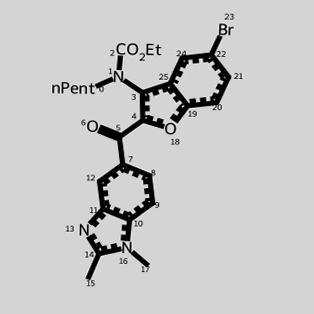 CCCCCN(C(=O)OCC)c1c(C(=O)c2ccc3c(c2)nc(C)n3C)oc2ccc(Br)cc12